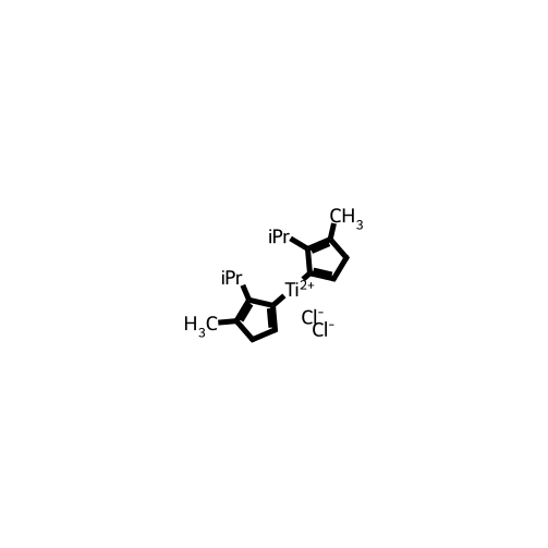 CC1=C(C(C)C)[C]([Ti+2][C]2=CCC(C)=C2C(C)C)=CC1.[Cl-].[Cl-]